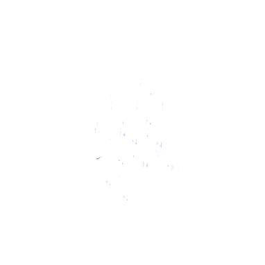 C[C@@H](c1ncc(F)cn1)N(c1cn(C)cn1)c1nc(N)nc(N2CCC(F)(F)CC2)n1